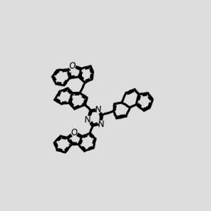 C1=CC2c3ccccc3C=CC2C=C1c1nc(-c2cc(-c3cccc4oc5ccccc5c34)c3ccccc3c2)nc(-c2cccc3c2oc2ccccc23)n1